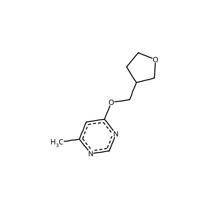 Cc1cc(OCC2CCOC2)ncn1